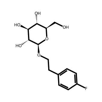 OC[C@H]1O[C@@H](OCCc2ccc(F)cc2)[C@H](O)[C@@H](O)[C@@H]1O